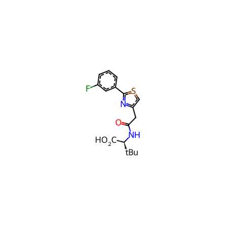 CC(C)(C)[C@H](NC(=O)Cc1csc(-c2cccc(F)c2)n1)C(=O)O